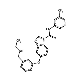 O=C(Nc1cccc(C(F)(F)F)c1)n1ccc2cc(Oc3cc(CNCC(F)(F)F)ncn3)ccc21